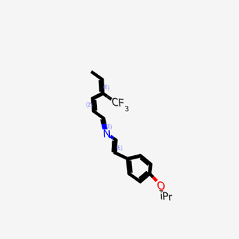 C\C=C(/C=C\C=N\C=C\c1ccc(OC(C)C)cc1)C(F)(F)F